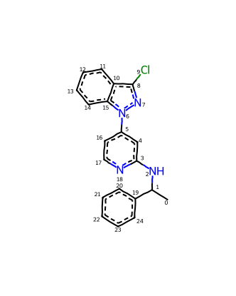 CC(Nc1cc(-n2nc(Cl)c3ccccc32)ccn1)c1ccccc1